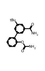 CC(C)(C)c1cc(C(N)=O)cc(-c2ccccc2OC(N)=O)c1